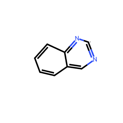 [c]1ncc2ccccc2n1